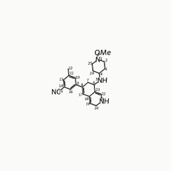 CON1CCC(NC2CC(c3cc(C)cc(C#N)c3)=CC3=CCNC=C32)CC1